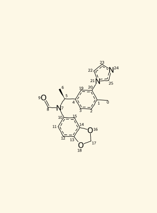 Cc1ccc([C@H](C)N(C=O)c2ccc3c(c2)OCO3)cc1-n1ccnc1